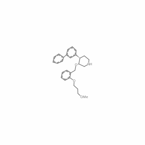 COCCCOc1ccccc1CO[C@H]1CNCC[C@@H]1c1cccc(-c2ccccc2)c1